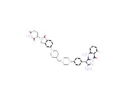 Nc1nn2c(=O)c3c(Cl)cccc3[nH]c2c1-c1ccc(N2CCN(CC3CCN(c4ccc5c(c4)CN(C4CCC(=O)NC4=O)C5=O)CC3)CC2)cc1